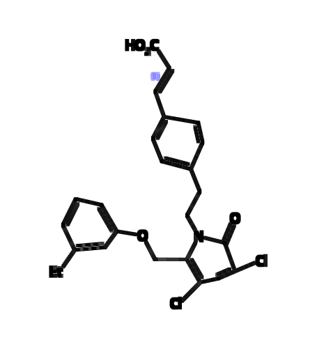 CCc1cccc(OCc2c(Cl)cc(Cl)c(=O)n2CCc2ccc(/C=C/C(=O)O)cc2)c1